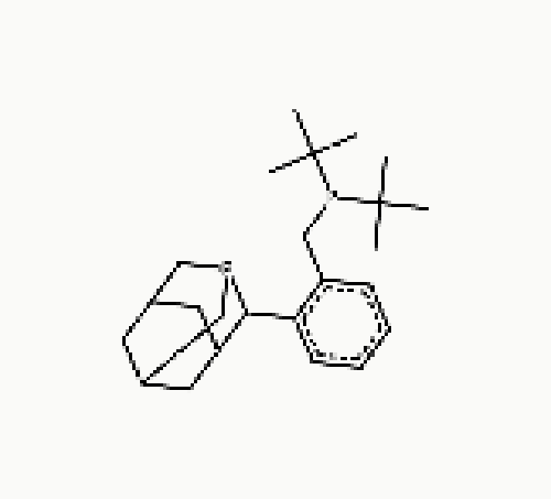 CC(C)(C)P(Cc1ccccc1C1C2CC3CC(C2)CP1C3)C(C)(C)C